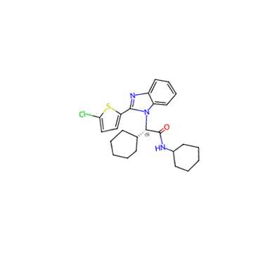 O=C(NC1CCCCC1)[C@H](C1CCCCC1)n1c(-c2ccc(Cl)s2)nc2ccccc21